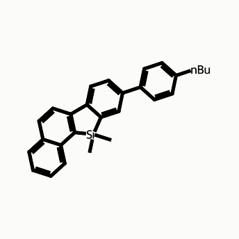 CCCCc1ccc(-c2ccc3c(c2)[Si](C)(C)c2c-3ccc3ccccc23)cc1